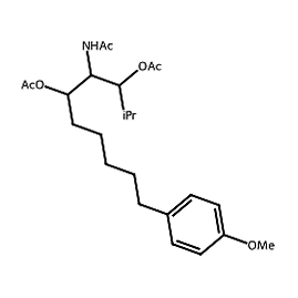 COc1ccc(CCCCCC(OC(C)=O)C(NC(C)=O)C(OC(C)=O)C(C)C)cc1